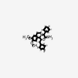 COc1cc2c(cc1OC)C(CCc1ccc(F)cc1)N(C(C(N)=O)c1ccccc1)CC2